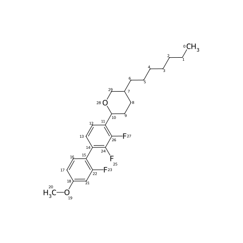 CCCCCCCC1CCC(c2ccc(-c3ccc(OC)cc3F)c(F)c2F)OC1